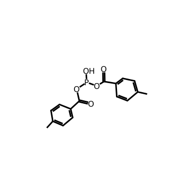 Cc1ccc(C(=O)OP(O)OC(=O)c2ccc(C)cc2)cc1